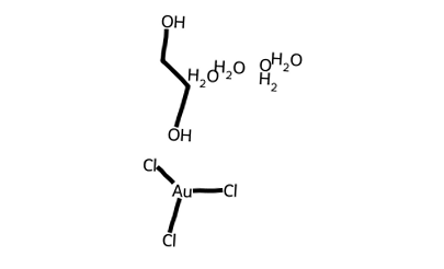 O.O.O.O.OCCO.[Cl][Au]([Cl])[Cl]